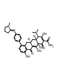 CN1CCC/C1=N\c1ccc(-c2ccc(O)c3c2C[C@H]2C[C@@H]4[C@@H](N(C)C)C(O)=C(C(N)=O)C(=O)[C@]4(O)C(O)=C2C3=O)cc1